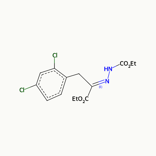 CCOC(=O)N/N=C(\Cc1ccc(Cl)cc1Cl)C(=O)OCC